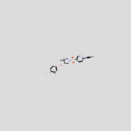 CC#Cc1ccc(S(=O)(=O)N2C[C@H](COc3ccc(C#N)c(F)c3)[C@](O)(CO)C2)cn1